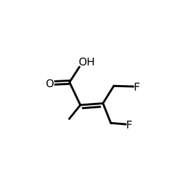 CC(C(=O)O)=C(CF)CF